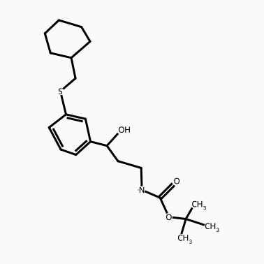 CC(C)(C)OC(=O)[N]CCC(O)c1cccc(SCC2CCCCC2)c1